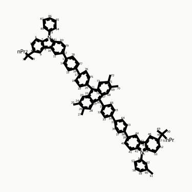 CCCC(C)(C)c1ccc2c(c1)c1cc(-c3ccc(-c4ccc(-c5c6cc(C)c(C)cc6c(-c6ccc(-c7ccc(-c8ccc9c(c8)c8cc(C(C)(C)CCC)ccc8n9-c8cccc(C)c8)cc7)cc6)c6cc(C)c(C)cc56)cc4)cc3)ccc1n2-c1ccccc1